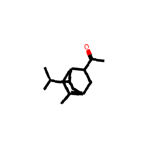 CC(=O)C1CC2=C(C)CC1C(C(C)C)C2